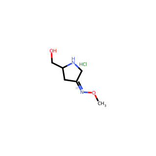 CO/N=C1\CNC(CO)C1.Cl